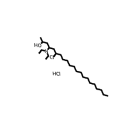 CCCCCCCCCCCCCCCC(Cl)CC(CC(C)O)N(CC)CC.Cl